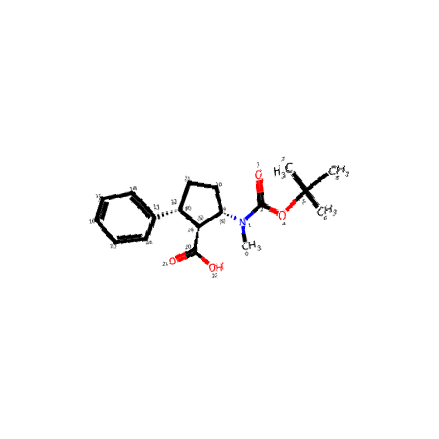 CN(C(=O)OC(C)(C)C)[C@H]1CC[C@@H](c2ccccc2)[C@@H]1C(=O)O